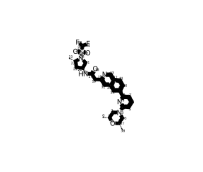 C[C@@H]1CN(c2cccc(-c3ccc4cnc(CC(=O)N[C@@H]5C[C@H](C)N(S(=O)(=O)C(F)F)C5)cc4c3)n2)C[C@H](C)O1